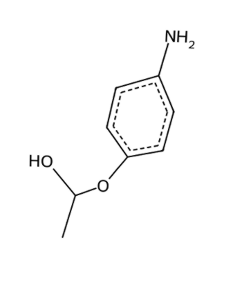 CC(O)Oc1ccc(N)cc1